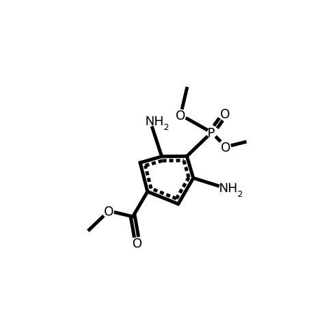 COC(=O)c1cc(N)c(P(=O)(OC)OC)c(N)c1